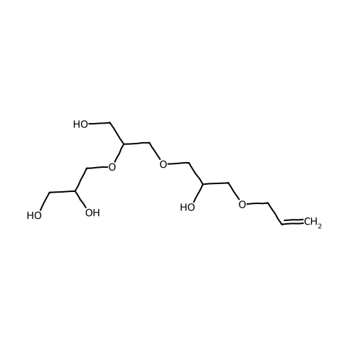 C=CCOCC(O)COCC(CO)OCC(O)CO